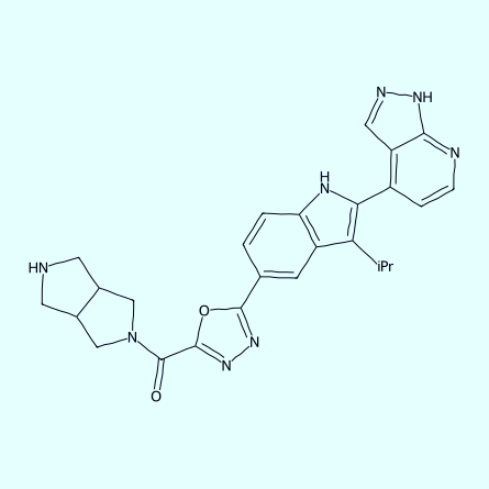 CC(C)c1c(-c2ccnc3[nH]ncc23)[nH]c2ccc(-c3nnc(C(=O)N4CC5CNCC5C4)o3)cc12